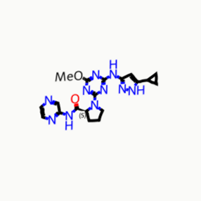 COc1nc(Nc2cc(C3CC3)[nH]n2)nc(N2CCC[C@H]2C(=O)Nc2cnccn2)n1